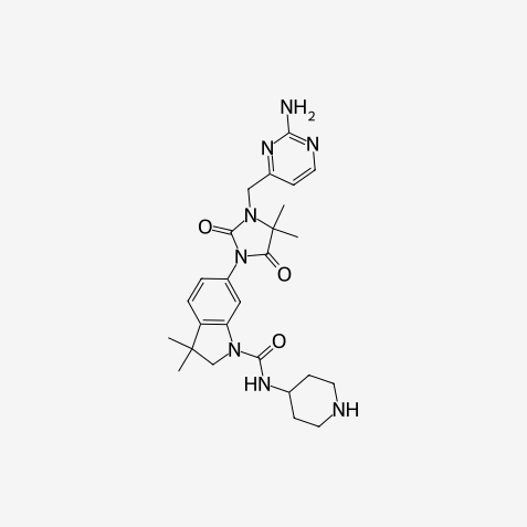 CC1(C)CN(C(=O)NC2CCNCC2)c2cc(N3C(=O)N(Cc4ccnc(N)n4)C(C)(C)C3=O)ccc21